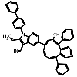 C=Cc1c(C=N)c2cc(-c3cccc(-c4ccccc4)c4ccccc4c(-c4ccccc4)c(C)c3)ccc2n1-c1ccc(-c2ccccc2)cc1